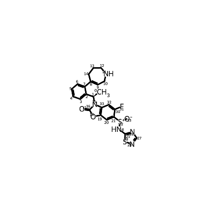 C[C@H](c1ccccc1C1=CCNCCC1)n1c(=O)oc2cc([S+]([O-])Nc3ncns3)c(F)cc21